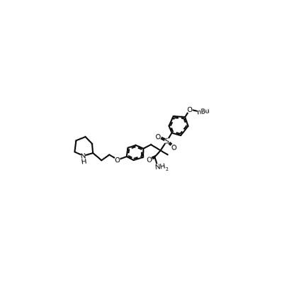 CCCCOc1ccc(S(=O)(=O)C(C)(Cc2ccc(OCCC3CCCCN3)cc2)C(N)=O)cc1